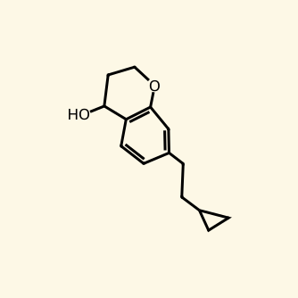 OC1CCOc2cc(CCC3CC3)ccc21